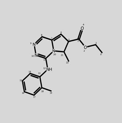 CCOC(=O)C1C=C2C=NN=C(Nc3ccccc3C)N2C1C